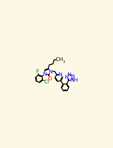 CCCCc1cn(-c2c(F)cccc2Cl)c(=O)n1Cc1ccc(-c2ccccc2-c2nnn[nH]2)cn1